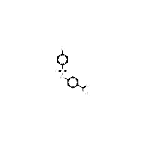 CC(=O)c1ccc(NS(=O)(=O)c2ccc(Br)cc2)cc1